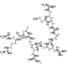 CC(CNC(=O)NC(CCCNC(=N)N)CNC(N)=O)NC(=O)NCC(CCCNC(=N)N)NC(=O)NCC(CCCNC(=N)N)NC(=O)NCC(C)NC(=O)NCC(CCCNC(=N)N)NC(=O)CCS